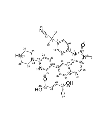 Cn1c(=O)n(-c2ccc(C(C)(C)C#N)cc2)c2c3cc(-c4ccc(N5CCNCC5)nc4)ccc3ncc21.O=C(O)C=CC(=O)O